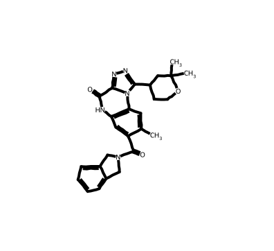 Cc1cc2c(cc1C(=O)N1Cc3ccccc3C1)[nH]c(=O)c1nnc(C3CCOC(C)(C)C3)n12